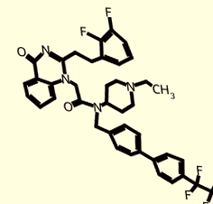 CCN1CCC(N(Cc2ccc(-c3ccc(C(F)(F)C(F)(F)F)cc3)cc2)C(=O)Cn2c(CCc3cccc(F)c3F)nc(=O)c3ccccc32)CC1